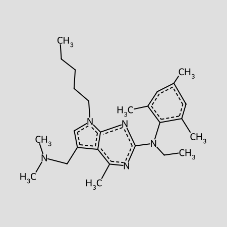 CCCCCn1cc(CN(C)C)c2c(C)nc(N(CC)c3c(C)cc(C)cc3C)nc21